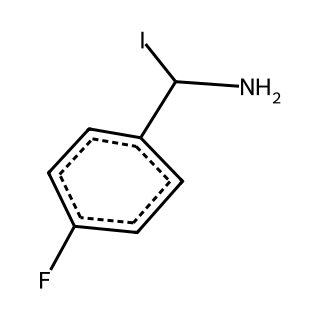 NC(I)c1ccc(F)cc1